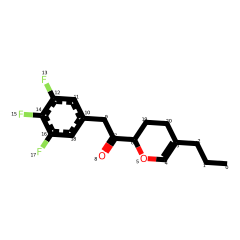 CCCC1=COC(C(=O)Cc2cc(F)c(F)c(F)c2)CC1